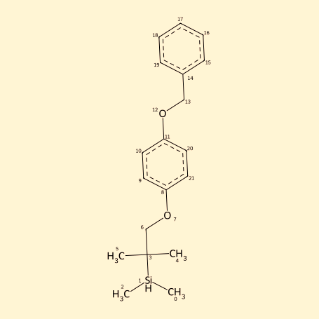 C[SiH](C)C(C)(C)COc1ccc(OCc2ccccc2)cc1